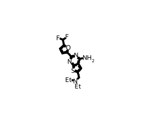 CCN(CC)Cc1cc2c(N)nc(-c3ccc(C(F)F)o3)nc2s1